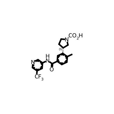 Cc1ccc(C(=O)Nc2cncc(C(F)(F)F)c2)cc1[C@@H]1CCN(C(=O)O)C1